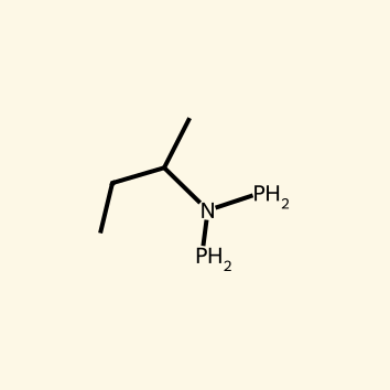 CCC(C)N(P)P